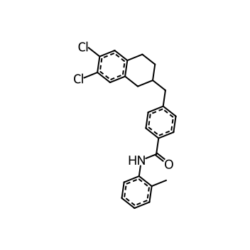 Cc1ccccc1NC(=O)c1ccc(CC2CCc3cc(Cl)c(Cl)cc3C2)cc1